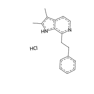 Cc1[nH]c2c(CCc3ccccc3)nccc2c1C.Cl